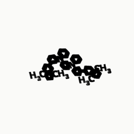 CC12CCC(C)(C1)c1cc(-c3cccc(N(c4ccccc4)c4cccc(N(c5ccccc5)c5cccc(-c6ccc7c(c6)C6(C)CCC7(C)C6)c5)c4)c3)ccc12